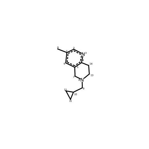 Cc1cnc2c(c1)CN(CC1CC1)CC2